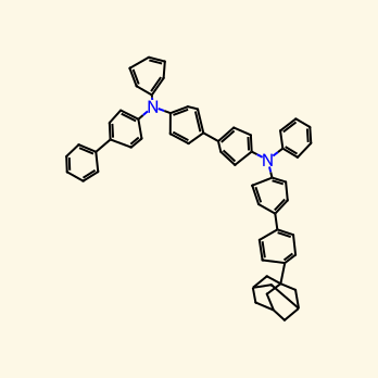 c1ccc(-c2ccc(N(c3ccccc3)c3ccc(-c4ccc(N(c5ccccc5)c5ccc(-c6ccc(C78CC9CC(CC(C9)C7)C8)cc6)cc5)cc4)cc3)cc2)cc1